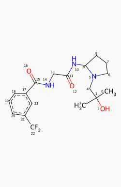 CC(C)(O)CN1CCCC1NC(=O)CNC(=O)c1cccc(C(F)(F)F)c1